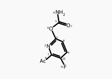 CC(=O)c1nc(OC(N)=O)ccc1F